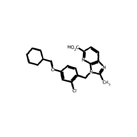 Cc1nc2ccc(C(=O)O)nc2n1Cc1ccc(OCC2CCCCC2)cc1Cl